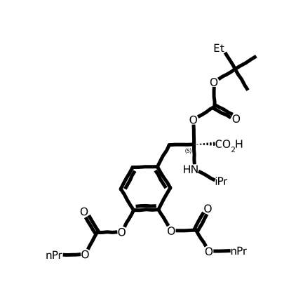 CCCOC(=O)Oc1ccc(C[C@](NC(C)C)(OC(=O)OC(C)(C)CC)C(=O)O)cc1OC(=O)OCCC